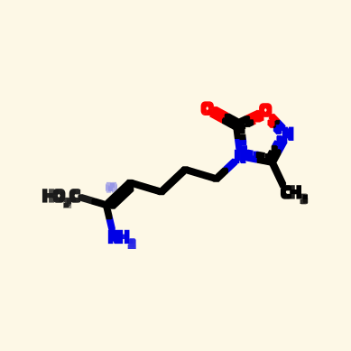 Cc1noc(=O)n1CCC/C=C(\N)C(=O)O